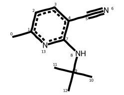 Cc1ccc(C#N)c(NC(C)(C)C)n1